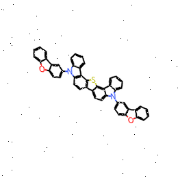 c1ccc2c(c1)oc1ccc(-n3c4ccccc4c4c5sc6c(ccc7c6c6ccccc6n7-c6ccc7oc8ccccc8c7c6)c5ccc43)cc12